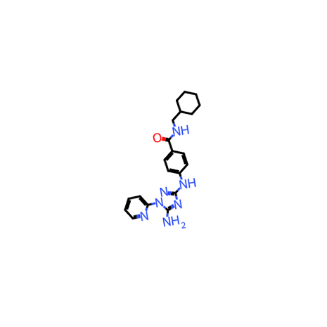 Nc1nc(Nc2ccc(C(=O)NCC3CCCCC3)cc2)nn1-c1ccccn1